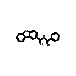 N=C(NC(N)c1ccc2sc3ccccc3c2c1)c1ccccc1